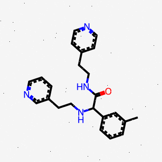 Cc1cccc(C(NCCc2cccnc2)C(=O)NCCc2ccncc2)c1